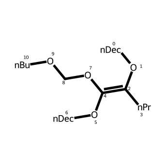 CCCCCCCCCCOC(CCC)=C(OCCCCCCCCCC)OCOCCCC